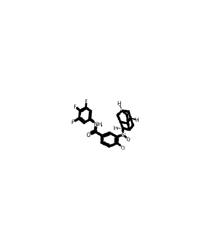 O=C(Nc1cc(F)c(F)c(F)c1)c1ccc(Cl)c([S+]([O-])[C@H]2C3C[C@H]4CC2C[C@@H](C3)C4)c1